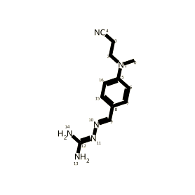 CN(CCC#N)c1ccc(C=NN=C(N)N)cc1